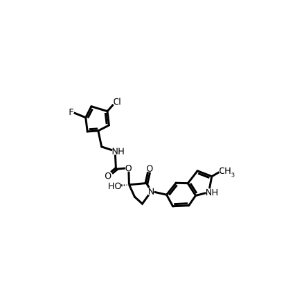 Cc1cc2cc(N3CC[C@@](O)(OC(=O)NCc4cc(F)cc(Cl)c4)C3=O)ccc2[nH]1